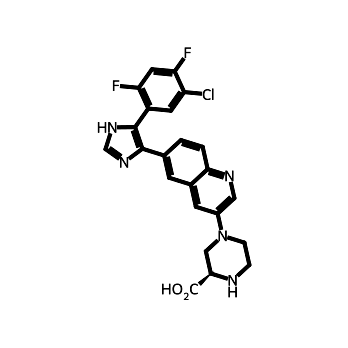 O=C(O)[C@H]1CN(c2cnc3ccc(-c4nc[nH]c4-c4cc(Cl)c(F)cc4F)cc3c2)CCN1